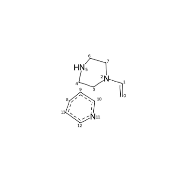 C=CN1CCNCC1.c1ccncc1